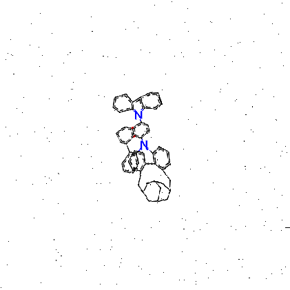 c1ccc(-c2ccccc2N(c2ccc(-n3c4ccccc4c4ccccc43)cc2)c2cccc3c2-c2ccccc2CC2CC4CC(C3)CC(C2)C4)cc1